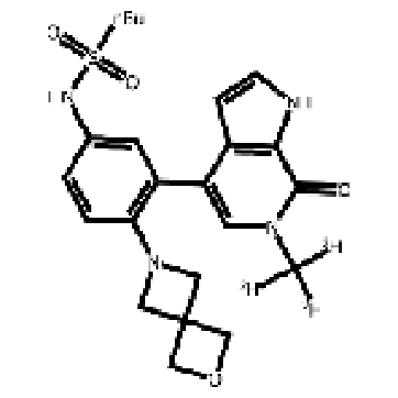 [2H]C([2H])([2H])n1cc(-c2cc(NS(=O)(=O)CCCC)ccc2N2CC3(COC3)C2)c2cc[nH]c2c1=O